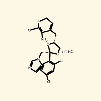 Cl.Cl.NC1=C(Cl)SCC=C1C[C@@H]1CO[C@@](Cn2ccnc2)(c2ccc(Cl)cc2Cl)O1